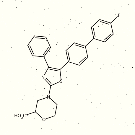 O=C(O)C1CN(c2nc(-c3ccccc3)c(-c3ccc(-c4ccc(F)cc4)cc3)s2)CCO1